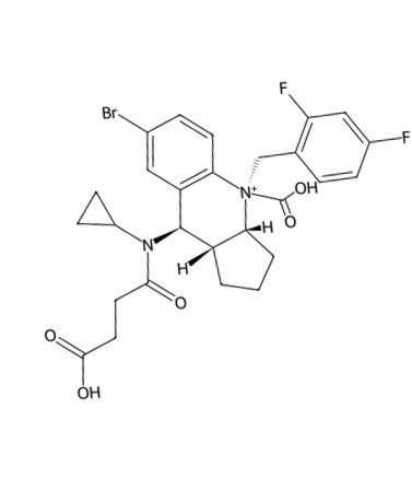 O=C(O)CCC(=O)N(C1CC1)[C@H]1c2cc(Br)ccc2[N@@+](Cc2ccc(F)cc2F)(C(=O)O)[C@@H]2CCC[C@@H]21